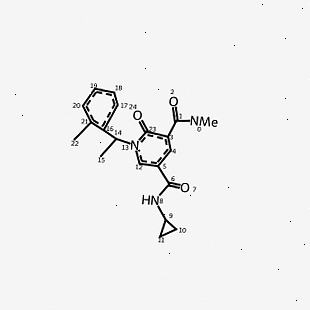 CNC(=O)c1cc(C(=O)NC2CC2)cn(C(C)c2ccccc2C)c1=O